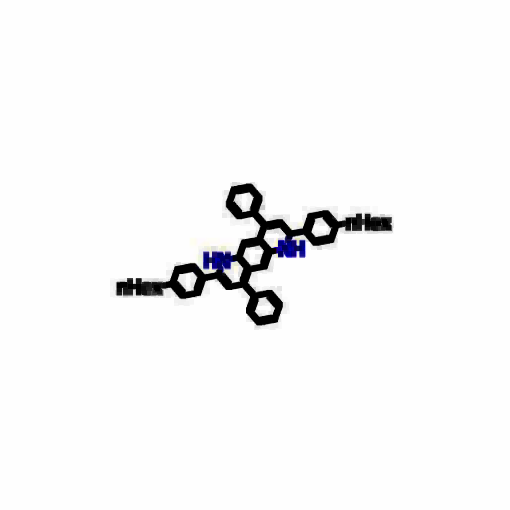 CCCCCCc1ccc(C2=CC(c3ccccc3)=C3C=C4NC(c5ccc(CCCCCC)cc5)C=C(c5ccccc5)C4=CC3N2)cc1